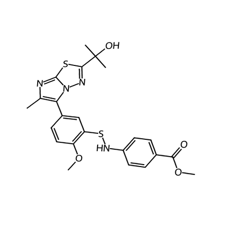 COC(=O)c1ccc(NSc2cc(-c3c(C)nc4sc(C(C)(C)O)nn34)ccc2OC)cc1